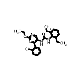 CCOc1ncc(NC(=O)Nc2c(CC)cccc2CC)c(-c2ccccc2Cl)n1